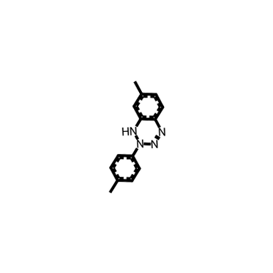 Cc1ccc(N2N=Nc3ccc(C)cc3N2)cc1